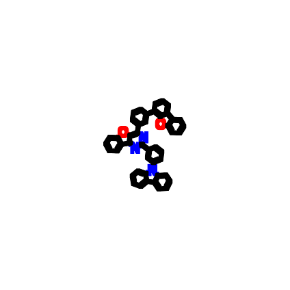 c1cc(-c2cccc3c2oc2ccccc23)cc(-c2nc(-c3cccc(-n4c5ccccc5c5ccccc54)c3)nc3c2oc2ccccc23)c1